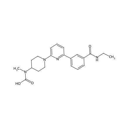 CCNC(=O)c1cccc(-c2cccc(N3CCC(N(C)C(=O)O)CC3)n2)c1